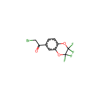 O=C(CBr)c1ccc2c(c1)OC(F)(F)C(F)(F)O2